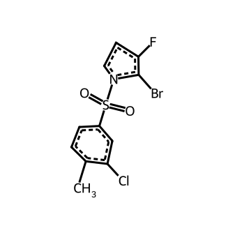 Cc1ccc(S(=O)(=O)n2ccc(F)c2Br)cc1Cl